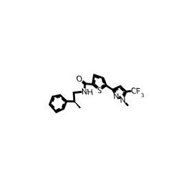 C[C@H](CNC(=O)c1ccc(-c2cc(C(F)(F)F)n(C)n2)s1)c1ccccc1